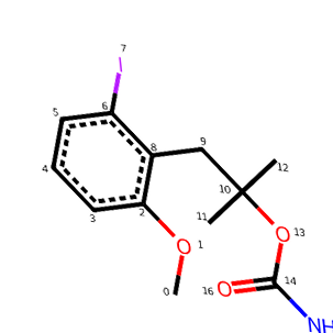 COc1cccc(I)c1CC(C)(C)OC(N)=O